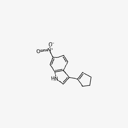 O=[N+]([O-])c1ccc2c(C3=CCCC3)c[nH]c2c1